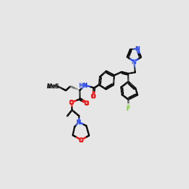 CSCC[C@H](NC(=O)c1ccc(/C=C(/Cn2ccnc2)c2ccc(F)cc2)cc1)C(=O)OC(C)CN1CCOCC1